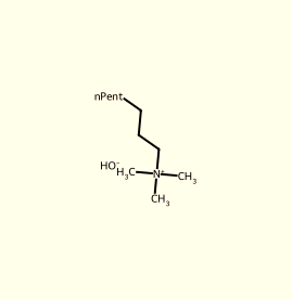 CCCCCCCC[N+](C)(C)C.[OH-]